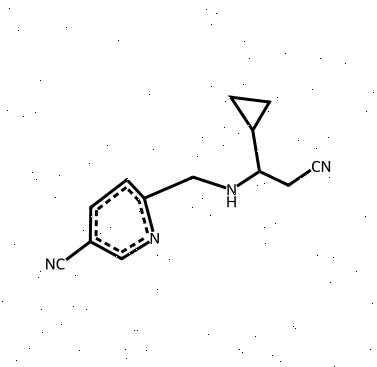 N#CCC(NCc1ccc(C#N)cn1)C1CC1